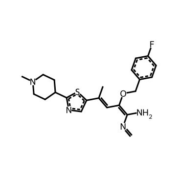 C=N/C(N)=C(\C=C(/C)c1cnc(C2CCN(C)CC2)s1)OCc1ccc(F)cc1